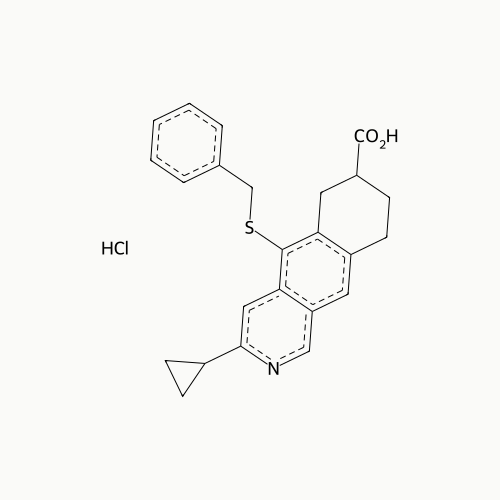 Cl.O=C(O)C1CCc2cc3cnc(C4CC4)cc3c(SCc3ccccc3)c2C1